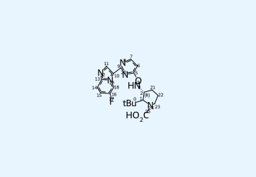 CC(C)(C)C1[C@H](NOc2ccnc(-c3cnc4ccc(F)cn34)n2)CCCN1C(=O)O